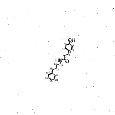 O=C(CCc1ccc(O)cc1)NCCCCc1ccccc1